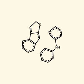 C1=C2SCC=C2c2ccccc21.c1ccc(Nc2ccccc2)cc1